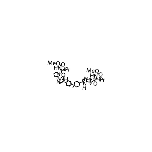 COC(=O)N[C@H](C(=O)N[C@@H](C)c1ncc(C2=CCC(C)(c3ccc(-c4cnc([C@@H]5CCCN5C(=O)[C@@H](NC(=O)OC)C(C)C)[nH]4)cc3)CC2)[nH]1)C(C)C